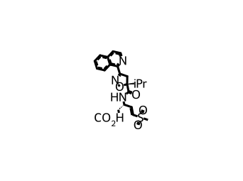 CC(C)[C@]1(C(=O)N[C@H](/C=C/S(C)(=O)=O)CC(=O)O)CC(c2nccc3ccccc23)=NO1